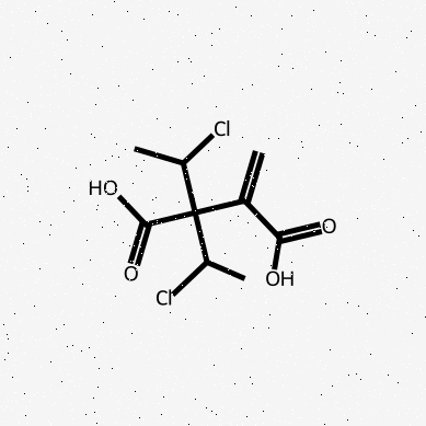 C=C(C(=O)O)C(C(=O)O)(C(C)Cl)C(C)Cl